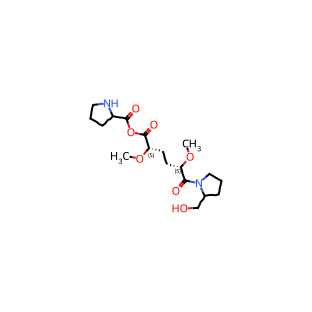 CO[C@@H](CC[C@H](OC)C(=O)N1CCCC1CO)C(=O)OC(=O)C1CCCN1